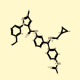 CCc1cccc(-n2nc(C)cc2C(=O)Nc2cccc(C(NCC3CC3)c3ccc(NC(C)=O)cc3)c2)c1